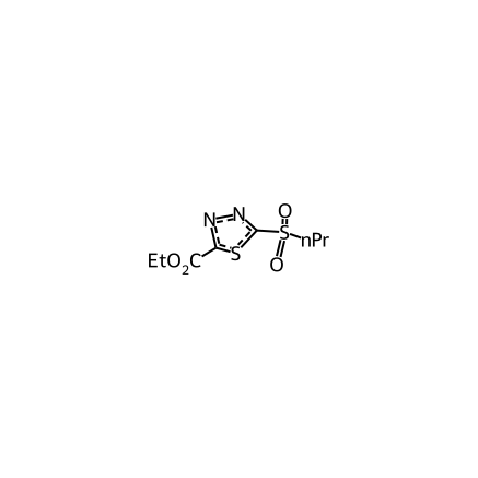 CCCS(=O)(=O)c1nnc(C(=O)OCC)s1